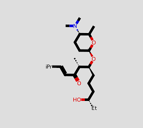 CC[C@H](O)CCC[C@H](O[C@H]1CC[C@H](N(C)C)C(C)O1)[C@@H](C)C(=O)/C=C/C(C)C